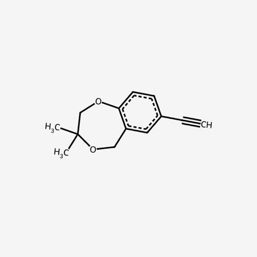 C#Cc1ccc2c(c1)COC(C)(C)CO2